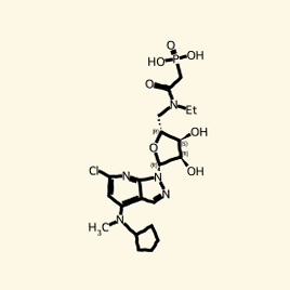 CCN(C[C@H]1O[C@@H](n2ncc3c(N(C)C4CCCC4)cc(Cl)nc32)[C@H](O)[C@@H]1O)C(=O)CP(=O)(O)O